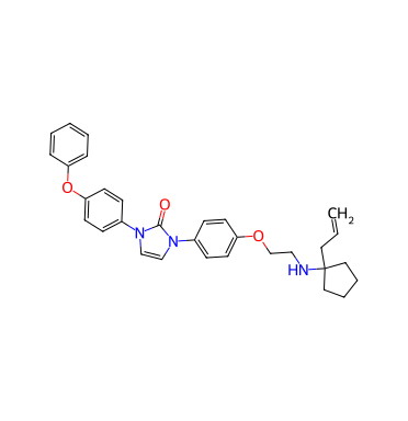 C=CCC1(NCCOc2ccc(-n3ccn(-c4ccc(Oc5ccccc5)cc4)c3=O)cc2)CCCC1